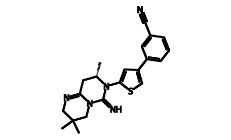 C[C@H]1CC2=NCC(C)(C)CN2C(=N)N1c1cc(-c2cccc(C#N)c2)cs1